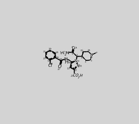 CN1CCC(C(C(N)=O)n2nc(C(=O)O)cc2NC(=O)c2ccccc2Cl)CC1